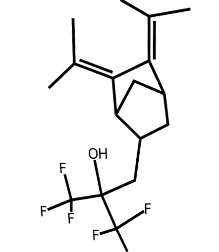 CC(C)=C1C(=C(C)C)C2CC1CC2CC(O)(C(F)(F)F)C(F)(F)F